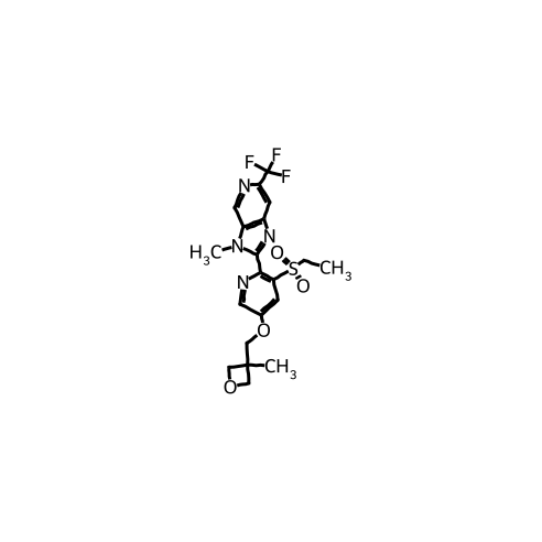 CCS(=O)(=O)c1cc(OCC2(C)COC2)cnc1-c1nc2cc(C(F)(F)F)ncc2n1C